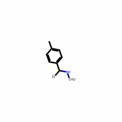 CCC(NC=O)c1ccc(C)cc1